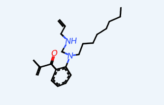 C=CCNCN(CCCCCCCC)c1ccccc1C(=O)C(=C)C